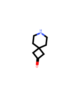 O=C1CC2(CCNCC2)C1